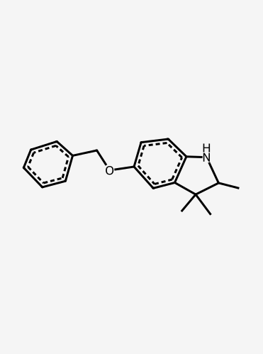 CC1Nc2ccc(OCc3ccccc3)cc2C1(C)C